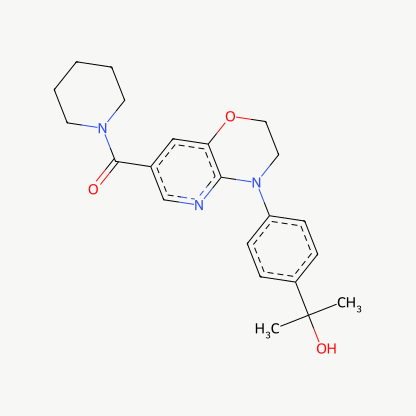 CC(C)(O)c1ccc(N2CCOc3cc(C(=O)N4CCCCC4)cnc32)cc1